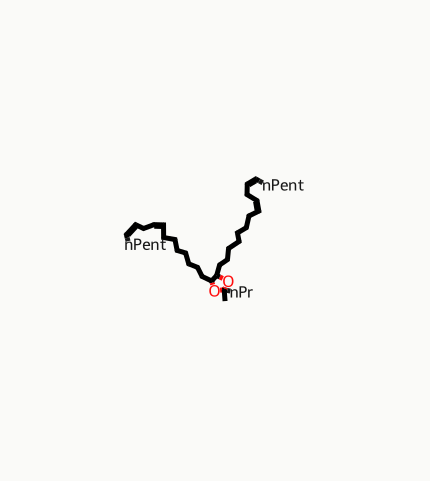 CCCCC/C=C\C/C=C\CCCCCCCC1OC(C)(CCC)OC1CCCCCCC/C=C\C/C=C\CCCCC